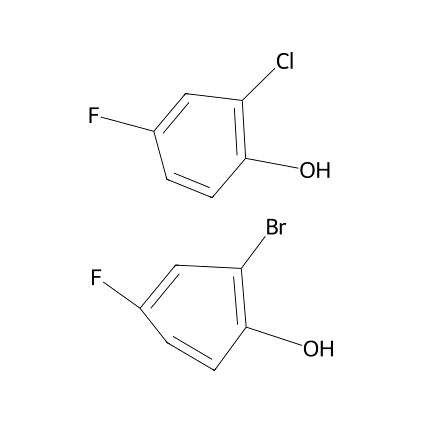 Oc1ccc(F)cc1Br.Oc1ccc(F)cc1Cl